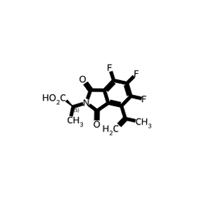 C=C(C)c1c(F)c(F)c(F)c2c1C(=O)N([C@@H](C)C(=O)O)C2=O